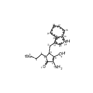 CC(C)(C)CCN1C(=O)C(N)=C(O)C1Cc1c[nH]c2ccccc12